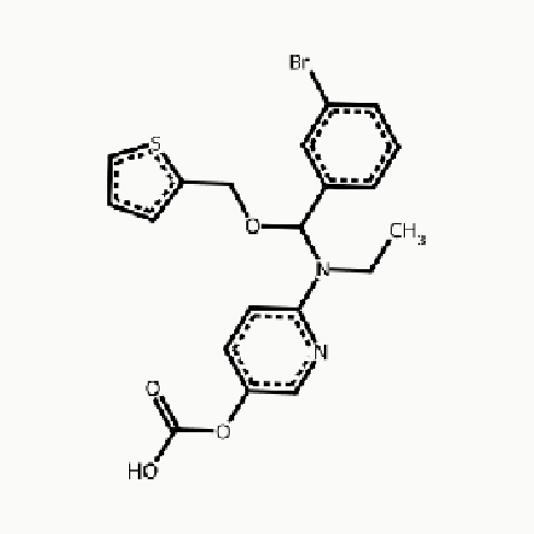 CCN(c1ccc(OC(=O)O)cn1)C(OCc1cccs1)c1cccc(Br)c1